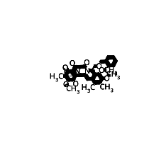 COC1=C(C)C(=O)C2=C(C1=O)C1C3=Cc4c(C)c(C)c(OC)c(OC)c4[C@H](COCc4ccccc4)N3C(=O)C(C2=O)N1C